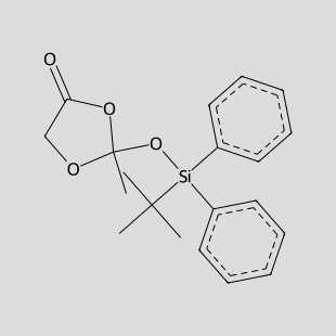 CC1(O[Si](c2ccccc2)(c2ccccc2)C(C)(C)C)OCC(=O)O1